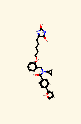 O=C1N=C(CCCCCOc2ccccc2CN(C(=O)c2ccc(-c3ccco3)cc2)C2CC2)C(=O)N1